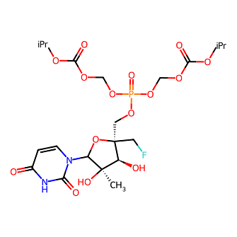 CC(C)OC(=O)OCOP(=O)(OCOC(=O)OC(C)C)OC[C@@]1(CF)OC(n2ccc(=O)[nH]c2=O)[C@](C)(O)[C@@H]1O